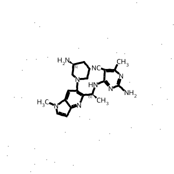 Cc1nc(N)nc(N[C@@H](C)c2nc3ccn(C)c3cc2N2CCC[C@H](N)C2)c1C#N